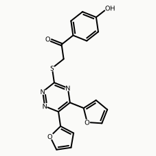 O=C(CSc1nnc(-c2ccco2)c(-c2ccco2)n1)c1ccc(O)cc1